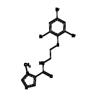 Cn1cncc1C(=O)NCCSc1c(Br)cc(Br)cc1Br